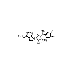 OCc1ncnc2c1ccn2[C@@H]1O[C@H]([C@H](O)c2ccc(F)c(F)c2)[C@@H](O)[C@H]1O